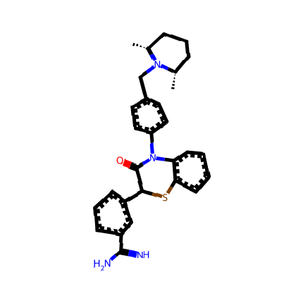 C[C@@H]1CCC[C@H](C)N1Cc1ccc(N2C(=O)C(c3cccc(C(=N)N)c3)Sc3ccccc32)cc1